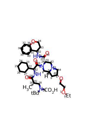 CCOCCO[C@@H]1C[C@@H]2CN(C(=O)[C@@H](NC(=O)[C@@H](C)CN(C(=O)O)C(C)(C)C)C3CCCCC3)[C@H](C(=O)N[C@@H]3CCOc4ccccc43)CN2C1